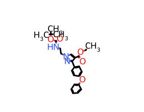 CCOC(=O)c1cn(CCNC(=O)OC(C)(C)C)nc1-c1ccc(Oc2ccccc2)cc1